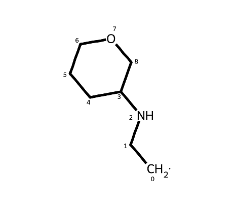 [CH2]CNC1CCCOC1